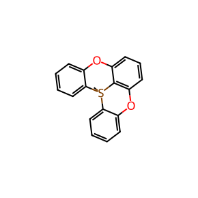 CS12c3ccccc3Oc3cccc(c31)Oc1ccccc12